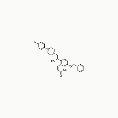 O=c1ccc2c(C(O)CN3CCN(c4ccc(F)cc4)CC3)ccc(OCc3ccccc3)c2[nH]1